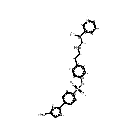 CCCCCCc1csc(-c2ccc(S(=O)(=O)Nc3ccc(CCNCC(O)c4cccnc4)cc3)cc2)n1